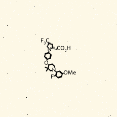 COc1ccc(F)c(N2CCC(Oc3ccc(N4C[C@H](C(F)(F)F)C[C@@H]4CC(=O)O)cc3)C(C)(C)C2)c1